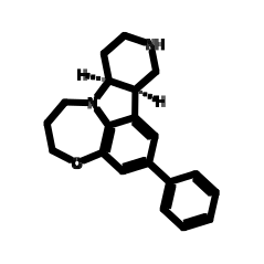 c1ccc(-c2cc3c4c(c2)[C@@H]2CNCC[C@@H]2N4CCCO3)cc1